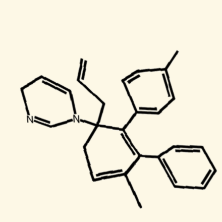 C=CCC1(N2C=CCN=C2)CC=C(C)C(c2ccccc2)=C1c1ccc(C)cc1